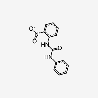 O=C(Nc1ccccc1)Nc1ccccc1[N+](=O)[O-]